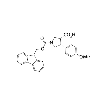 COc1ccc([C@@H]2CN(C(=O)OCC3c4ccccc4-c4ccccc43)CC2C(=O)O)cc1